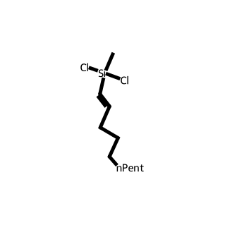 CCCCCCCCC=C[Si](C)(Cl)Cl